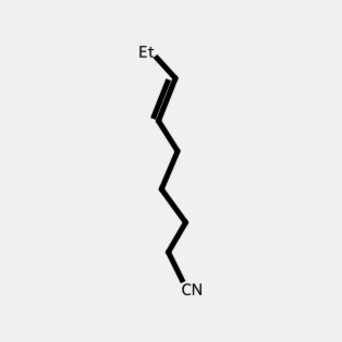 CCC=CCCCCC#N